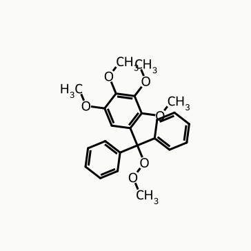 COOC(c1ccccc1)(c1ccccc1)c1cc(OC)c(OC)c(OC)c1OC